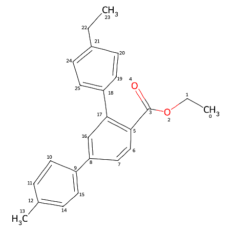 CCOC(=O)c1ccc(-c2ccc(C)cc2)cc1-c1ccc(CC)cc1